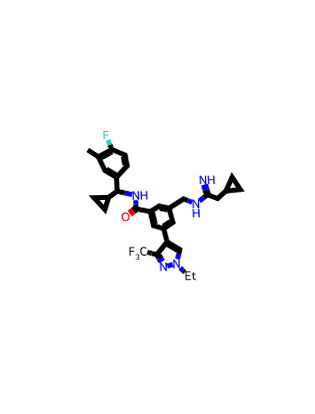 CCn1cc(-c2cc(CNC(=N)CC3CC3)cc(C(=O)NC(c3ccc(F)c(C)c3)C3CC3)c2)c(C(F)(F)F)n1